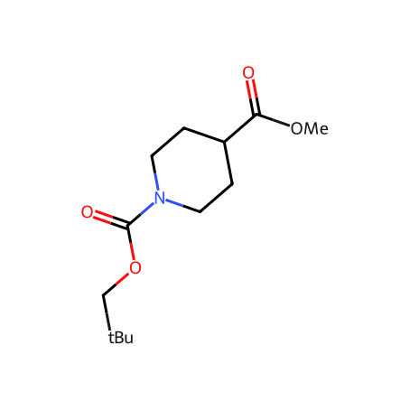 COC(=O)C1CCN(C(=O)OCC(C)(C)C)CC1